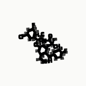 C[C@H](NC(=O)C(C)(F)F)[C@H](Oc1ccc(Nc2ccc(F)cc2)c(C=N)c1)c1cc(F)cc(Cl)c1